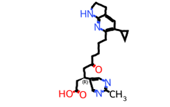 Cc1ncc([C@@H](CC(=O)O)CC(=O)CCCCc2nc3c(cc2C2CC2)CCCN3)cn1